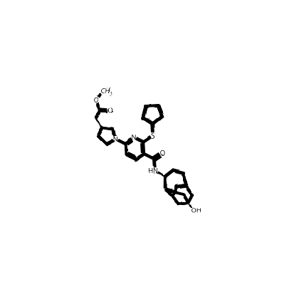 COC(=O)C[C@@H]1CCN(c2ccc(C(=O)N[C@H]3CCC4CC5C[C@@](O)(C4)CC53)c(SC3CCCC3)n2)C1